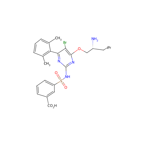 Cc1cccc(C)c1-c1nc(NS(=O)(=O)c2cccc(C(=O)O)c2)nc(OC[C@H](N)CC(C)C)c1Br